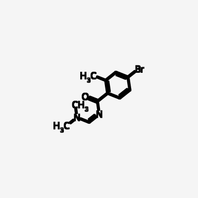 Cc1cc(Br)ccc1C(=O)/N=C\N(C)C